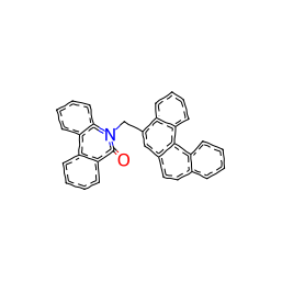 O=c1c2ccccc2c2ccccc2n1Cc1cc2ccc3ccccc3c2c2ccccc12